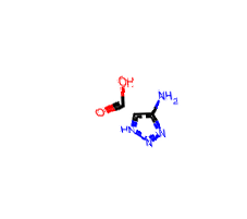 Nc1c[nH]nn1.O=CO